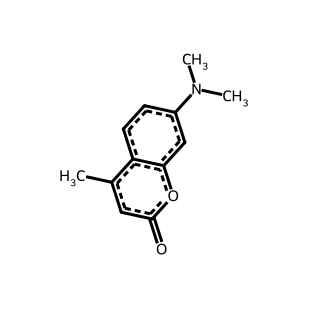 Cc1cc(=O)oc2cc(N(C)C)ccc12